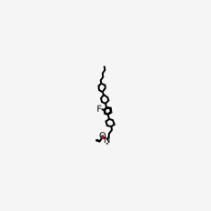 C=CC(=O)N(C)CCCC1CCC(c2ccc(C3CCC(C4CCC(CCCCC)CC4)CC3)c(F)c2)CC1